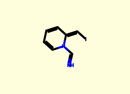 N=CN1C=CC=C/C1=C/I